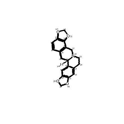 c1cc2c(c3c1C[C@H]1c4cc5c(cc4CCN1C3)OCO5)OCO2